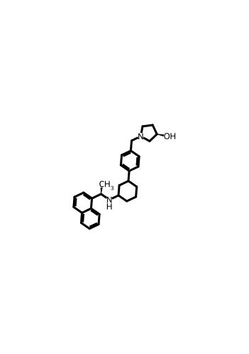 C[C@@H](NC1CCCC(c2ccc(CN3CC[C@@H](O)C3)cc2)C1)c1cccc2ccccc12